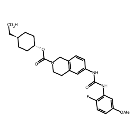 COc1ccc(F)c(NC(=O)Nc2ccc3c(c2)CCN(C(=O)O[C@H]2CC[C@H](CC(=O)O)CC2)C3)c1